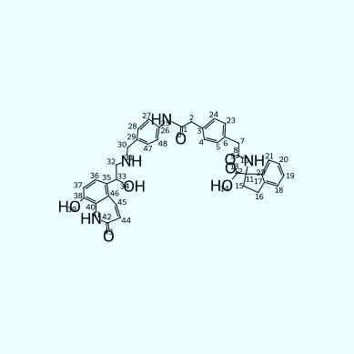 O=C(Cc1ccc(CC(=O)NC2(C(=O)O)CCc3ccccc32)cc1)Nc1ccc(CNCC(O)c2ccc(O)c3[nH]c(=O)ccc23)cc1